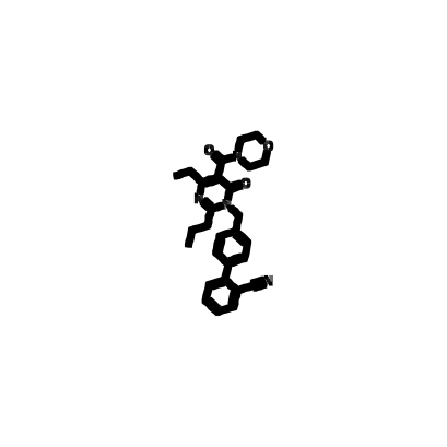 CCCc1nc(CC)c(C(=O)N2CCOCC2)c(=O)n1Cc1ccc(-c2ccccc2C#N)cc1